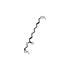 C=CCOC(=O)C=CCCCCC=CCC